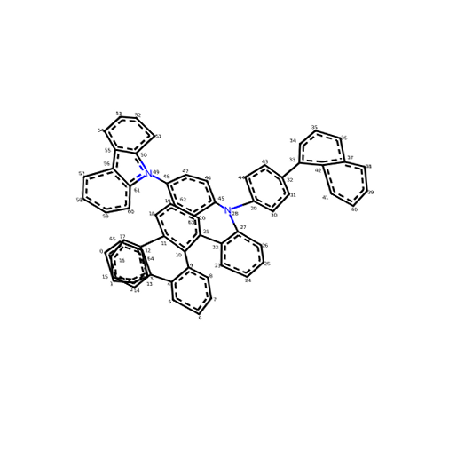 c1ccc(-c2ccccc2-c2c(-c3ccccc3)cccc2-c2ccccc2N(c2ccc(-c3cccc4ccccc34)cc2)c2ccc(-n3c4ccccc4c4ccccc43)cc2)cc1